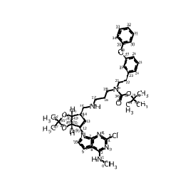 CNc1nc(Cl)nc2c1ccn2[C@@H]1C[C@H](CNCCCN(CCc2cccc(Oc3ccccc3)c2)C(=O)OC(C)(C)C)[C@H]2OC(C)(C)O[C@H]21